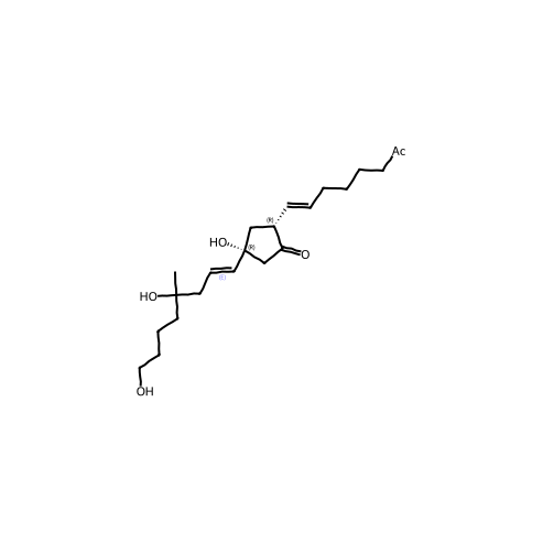 CC(=O)CCCCC=C[C@H]1C[C@](O)(/C=C/CC(C)(O)CCCCO)CC1=O